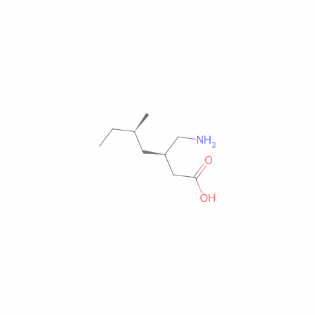 CC[C@@H](C)C[C@@H](CN)CC(=O)O